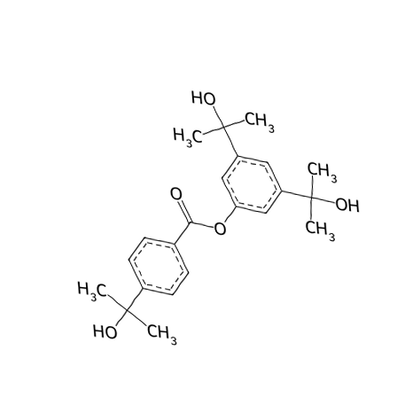 CC(C)(O)c1ccc(C(=O)Oc2cc(C(C)(C)O)cc(C(C)(C)O)c2)cc1